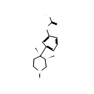 CCCCCCN1CC[C@](C)(c2cccc(OC(=O)C(C)(C)C)c2)[C@@H](C)C1